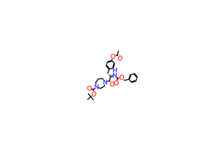 CC(=O)Oc1ccc(C[C@H](NC(=O)OCc2ccccc2)C(=O)N2CCCN(C(=O)OC(C)(C)C)CC2)cc1